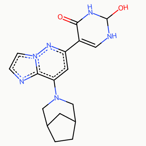 O=C1NC(O)NC=C1c1cc(N2CC3CCC(C3)C2)c2nccn2n1